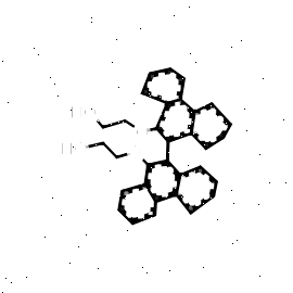 OCCOc1c(-c2c(OCCO)c3ccccc3c3ccccc23)c2ccccc2c2ccccc12